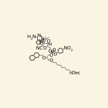 CCCCCCCCCCCCCCCCCCOC[C@H](COP(=O)(OC[C@H]1O[C@@](C#N)(c2ccc3c(N)ncnn23)[C@@H]2OC(C)(C)O[C@@H]21)Oc1ccc([N+](=O)[O-])cc1)OCc1ccc2ccccc2c1